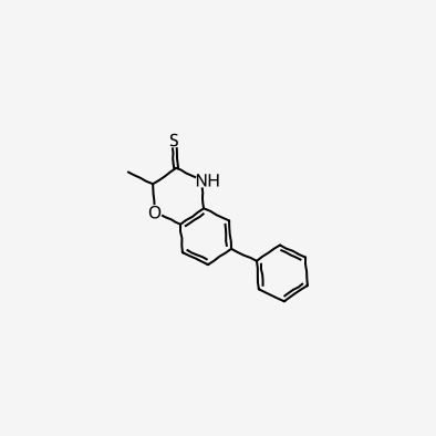 CC1Oc2ccc(-c3ccccc3)cc2NC1=S